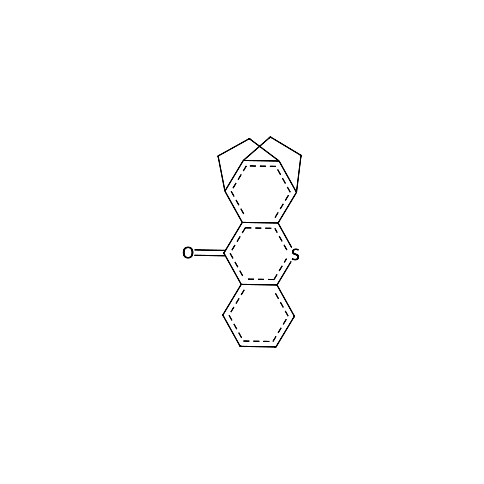 O=c1c2ccccc2sc2c3c4c(c(c12)CC4)CC3